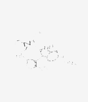 COC(=O)c1ccc2c(-c3nc(N[C@H]4CCCCN(C(=O)OC(C)(C)C)C4)ncc3C(F)(F)F)c[nH]c2c1